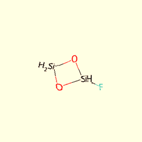 F[SiH]1O[SiH2]O1